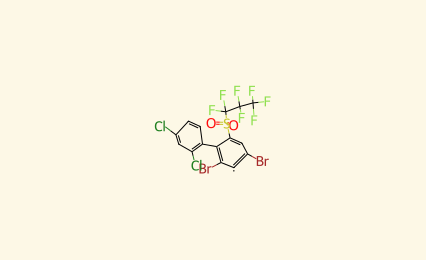 O=S(=O)(c1cc(Br)[c]c(Br)c1-c1ccc(Cl)cc1Cl)C(F)(F)C(F)(F)C(F)(F)F